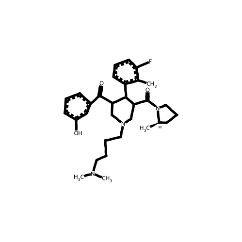 Cc1c(F)cccc1C1C(C(=O)c2cccc(O)c2)CN(CCCCN(C)C)CC1C(=O)N1CCC[C@H]1C